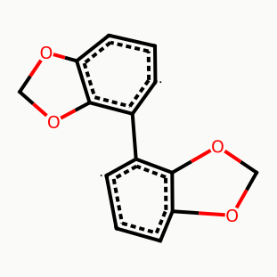 [c]1ccc2c(c1-c1[c]ccc3c1OCO3)OCO2